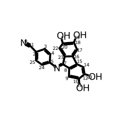 N#Cc1ccc(N=C2c3cc(O)c(O)cc3-c3cc(O)c(O)cc32)cc1